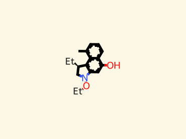 CCON1C[C@@H](CC)c2c1cc(O)c1cccc(C)c21